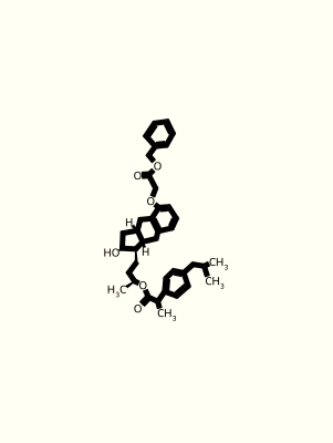 CC(C)Cc1ccc(C(C)C(=O)O[C@@H](C)CC[C@@H]2[C@H]3Cc4cccc(OCC(=O)OCc5ccccc5)c4C[C@H]3C[C@H]2O)cc1